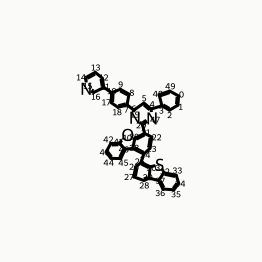 c1ccc(-c2cc(-c3ccc(-c4cccnc4)cc3)nc(-c3ccc(-c4cccc5c4sc4ccccc45)c4c3oc3ccccc34)n2)cc1